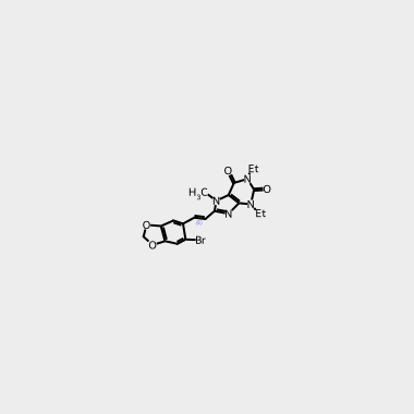 CCn1c(=O)c2c(nc(/C=C/c3cc4c(cc3Br)OCO4)n2C)n(CC)c1=O